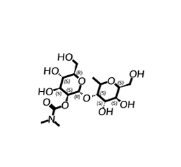 CC1O[C@@H](CO)[C@@H](O)[C@H](O)[C@@H]1O[C@H]1O[C@H](CO)[C@@H](O)[C@H](O)[C@@H]1OC(=O)N(C)C